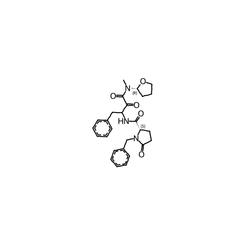 CN(C(=O)C(=O)C(Cc1ccccc1)NC(=O)[C@@H]1CCC(=O)N1Cc1ccccc1)[C@H]1CCCO1